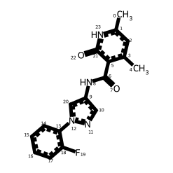 Cc1cc(C)c(C(=O)Nc2cnn(-c3ccccc3F)c2)c(=O)[nH]1